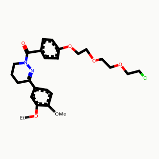 CCOc1cc(C2=NN(C(=O)c3ccc(OCCOCCOCCCl)cc3)CCC2)ccc1OC